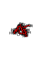 CCNCCOc1ccc(NC(=O)NC(=O)C[C@@H]2CC(=O)[C@H](NC(=O)[C@H](CC)CC(C)C)[C@H](O)c3ccc(c(Cl)c3)Oc3cc4cc(c3O[C@@H]3O[C@H](CO)[C@@H](O)[C@H](O)[C@H]3O[C@H]3C[C@](C)(N)[C@H](O)[C@H](C)O3)Oc3ccc(cc3Cl)[C@@H](O)[C@@H]3NC(=O)[C@H](CC(=O)[C@@H]4NC2=O)c2ccc(O)c(c2)-c2c(O)cc(O)cc2[C@@H](C(=O)CC2C4CC5CC(C4)CC2C5)NC3=O)cc1